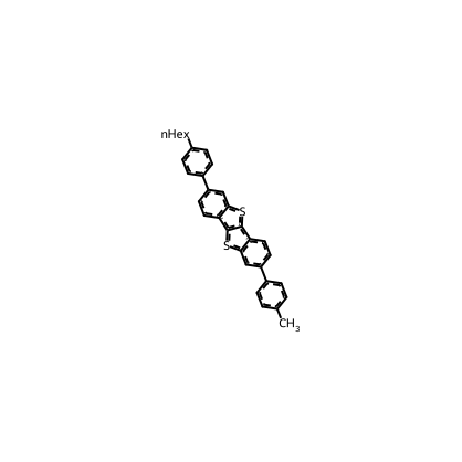 CCCCCCc1ccc(-c2ccc3c(c2)sc2c4ccc(-c5ccc(C)cc5)cc4sc32)cc1